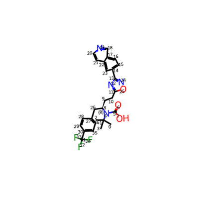 CC(C)(C)N(C(=O)O)[C@H](CCc1nc(-c2ccc3cnccc3c2)no1)Cc1ccc(C(F)(F)F)cc1